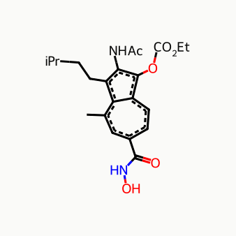 CCOC(=O)Oc1c2ccc(C(=O)NO)cc(C)c-2c(CCC(C)C)c1NC(C)=O